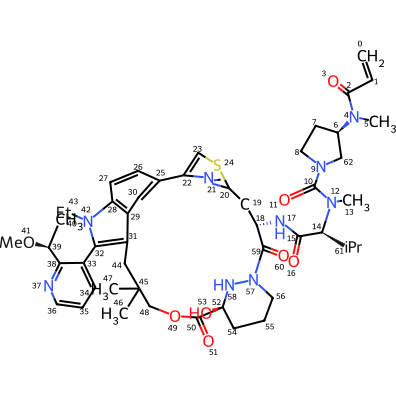 C=CC(=O)N(C)[C@@H]1CCN(C(=O)N(C)[C@H](C(=O)N[C@H]2Cc3nc(cs3)-c3ccc4c(c3)c(c(-c3cccnc3[C@H](C)OC)n4CC)CC(C)(C)COC(=O)[C@@]3(O)CCCN(N3)C2=O)C(C)C)C1